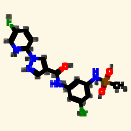 CS(=O)(=O)Nc1cc(Br)cc(NC(=O)c2cnn(-c3ccc(F)cn3)c2)c1